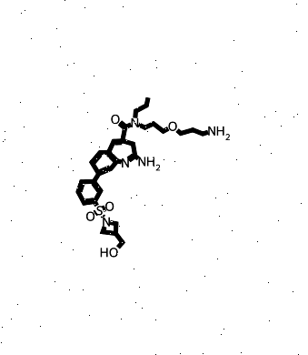 CCCN(CCCOCCCN)C(=O)C1=Cc2ccc(-c3cccc(S(=O)(=O)N4CC(CO)C4)c3)cc2N=C(N)C1